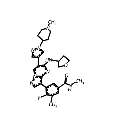 CNC(=O)c1cc(C)c(F)c(-c2cnn3cc(-c4cnn(C5CCN(C)CC5)c4)c(NC4CCOC4)nc23)c1